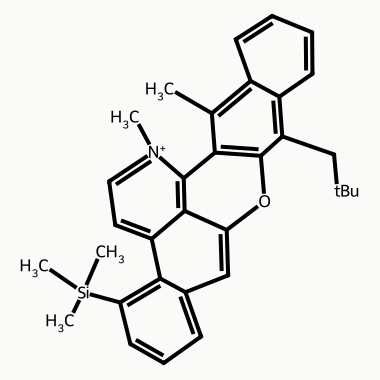 Cc1c2c(c(CC(C)(C)C)c3ccccc13)Oc1cc3cccc([Si](C)(C)C)c3c3cc[n+](C)c-2c13